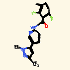 CCn1nc(C(F)(F)F)cc1-c1ccc(NC(=O)c2c(F)ccc(C)c2F)nc1